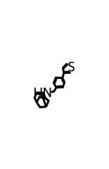 c1cc(-c2ccc(CNC34CC5CC(CC(C5)C3)C4)cc2)cs1